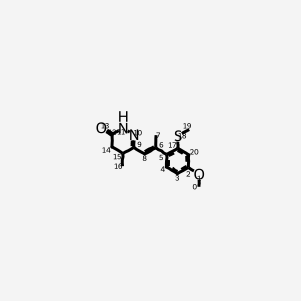 COc1ccc(C(C)=CC2=NNC(=O)CC2C)c(SC)c1